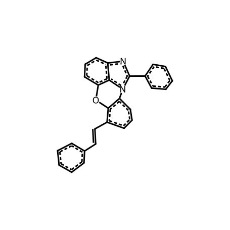 C(=C\c1cccc2c1Oc1cccc3nc(-c4ccccc4)n-2c13)/c1ccccc1